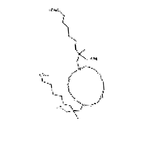 CCCCCCCCCCCCCCCCC(C)(CO)CN1CCOCCOCCN(CC(C)(CO)CCCCCCCCCCCCCCCC)CCOCC1